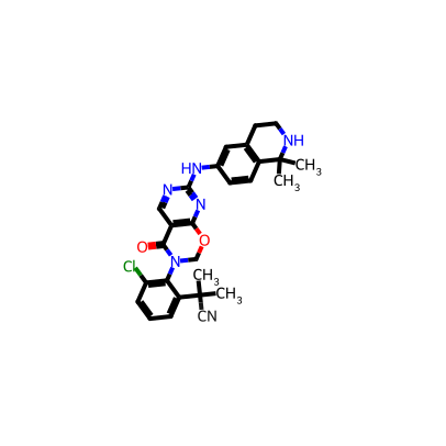 CC(C)(C#N)c1cccc(Cl)c1N1COc2nc(Nc3ccc4c(c3)CCNC4(C)C)ncc2C1=O